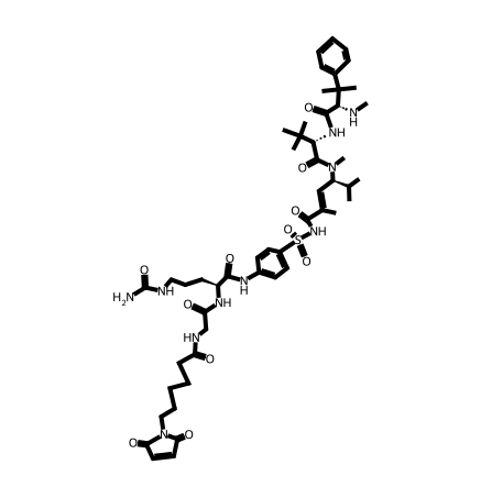 CN[C@H](C(=O)N[C@H](C(=O)N(C)[C@H](/C=C(\C)C(=O)NS(=O)(=O)c1ccc(NC(=O)[C@H](CCCNC(N)=O)NC(=O)CNC(=O)CCCCCN2C(=O)C=CC2=O)cc1)C(C)C)C(C)(C)C)C(C)(C)c1ccccc1